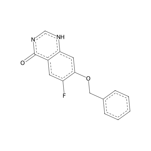 O=c1nc[nH]c2cc(OCc3ccccc3)c(F)cc12